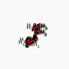 Cc1nn(C(=O)OC(C)(C)C)c(Nc2ncnc3cc(OCCCN4CCN(C(=O)c5cnc(N6CCN(C[C@H]7CN(C(=O)OC(C)(C)C)[C@H](C)CN7Cc7ccccc7)C(C)C6)nc5)CC4)c(S(=O)(=O)C(C)(C)C)cc23)c1C